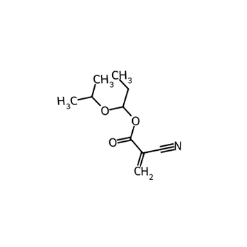 C=C(C#N)C(=O)OC(CC)OC(C)C